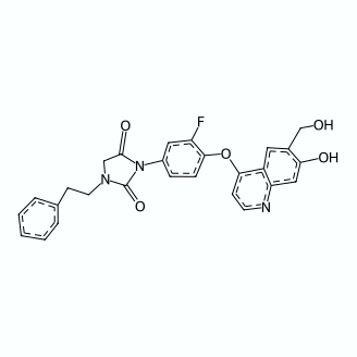 O=C1CN(CCc2ccccc2)C(=O)N1c1ccc(Oc2ccnc3cc(O)c(CO)cc23)c(F)c1